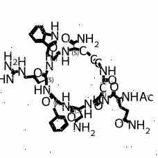 CC(=O)N[C@@H](CCC(N)=O)C(=O)N[C@H]1CC(=O)NCCCC[C@@H](C(N)=O)NC(=O)[C@H](Cc2c[nH]c3ccccc23)NC(=O)[C@H](CCCNC(=N)N)NC(=O)[C@@H](Cc2ccccc2)NC(=O)[C@H](CCN)NC1=O